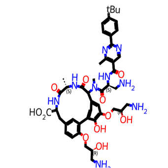 Cc1nc(-c2ccc(C(C)(C)C)cc2)ncc1C(=O)N[C@@H](CN)C(=O)N(C)C1C(=O)N[C@@H](C)C(=O)NC(C(=O)O)Cc2ccc(OC[C@H](O)CN)c(c2)-c2cc1cc(OC[C@H](O)CN)c2O